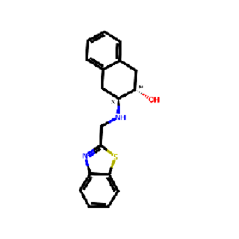 O[C@H]1Cc2ccccc2C[C@@H]1NCc1nc2ccccc2s1